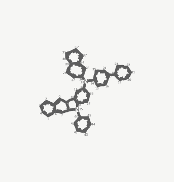 C1=c2ccccc2=CC2C1c1cc(N(c3ccc(-c4ccccc4)cc3)c3ccc4ccccc4c3)ccc1N2c1ccccc1